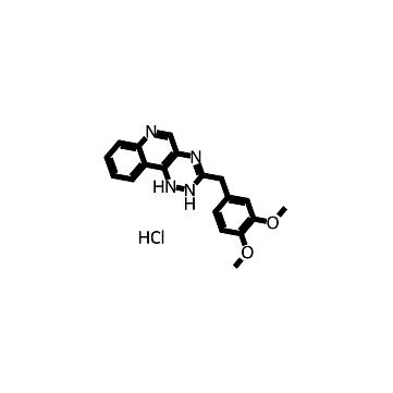 COc1ccc(CC2=Nc3cnc4ccccc4c3NN2)cc1OC.Cl